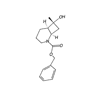 C[C@@]1(O)C[C@@H]2[C@H]1CCCN2C(=O)OCc1ccccc1